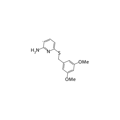 COc1cc(CSc2cc[c]c(N)n2)cc(OC)c1